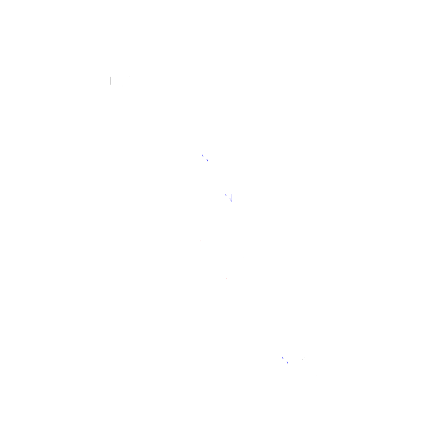 CC(C)c1ccc(N2CCN(CC(O)COc3ccc4[nH]c(=O)ccc4c3)CC2)cc1